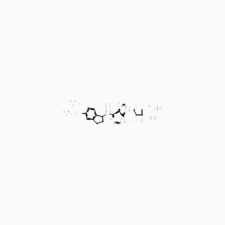 COc1cc2c(cc1OC)C(Nc1ncnc3c1ncn3[C@@H]1O[C@H](CO)[C@@H](O)[C@H]1O)CC2